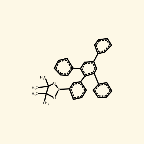 CC1(C)OB(c2cccc(-c3c(-c4ccccc4)cc(-c4ccccc4)cc3-c3ccccc3)c2)OC1(C)C